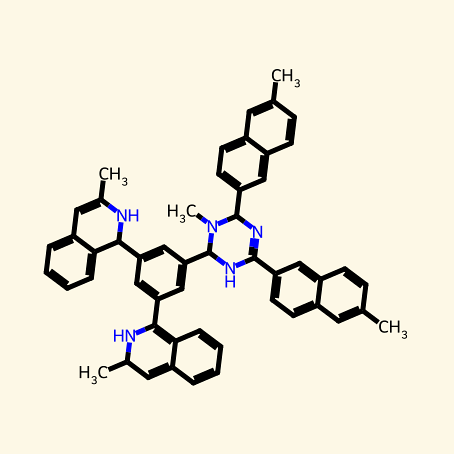 CC1=Cc2ccccc2C(c2cc(C3=c4ccccc4=CC(C)N3)cc(C3NC(c4ccc5cc(C)ccc5c4)=NC(c4ccc5cc(C)ccc5c4)N3C)c2)N1